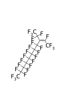 FC(=C(C(F)(F)C(F)(F)F)C(F)(F)C(F)(F)C(F)(F)C(F)(F)C(F)(F)C(F)(F)C(F)(F)C(F)(F)F)C(F)(F)F